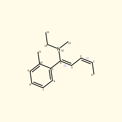 C/C=C\C=C(\c1ccccc1C)N(C)CC